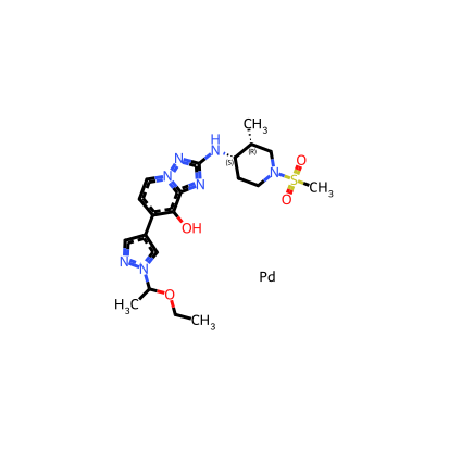 CCOC(C)n1cc(-c2ccn3nc(N[C@H]4CCN(S(C)(=O)=O)C[C@H]4C)nc3c2O)cn1.[Pd]